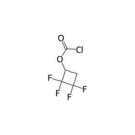 O=C(Cl)OC1CC(F)(F)C1(F)F